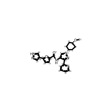 O=C(Nc1cn([C@H]2CC[C@H](OI)CC2)nc1-c1ccccn1)c1ccc(-c2cn[nH]c2)o1